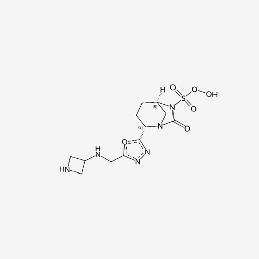 O=C1N2C[C@@H](CC[C@H]2c2nnc(CNC3CNC3)o2)N1S(=O)(=O)OO